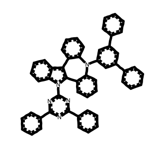 c1ccc(-c2cc(-c3ccccc3)cc(N3c4ccccc4-c4c(n(-c5nc(-c6ccccc6)nc(-c6ccccc6)n5)c5ccccc45)-c4ccccc43)c2)cc1